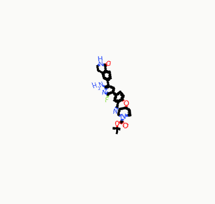 CC(C)(C)OC(=O)N1CCC(Oc2ccc(-c3cc(-c4ccc5c(c4)CCNC5=O)c(N)nc3F)cc2C#N)CC1